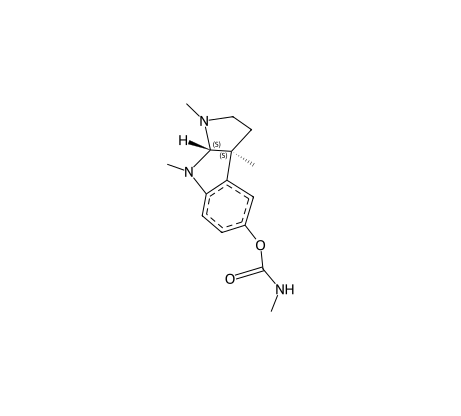 CNC(=O)Oc1ccc2c(c1)[C@]1(C)CCN(C)[C@H]1N2C